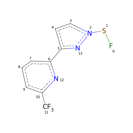 FSn1ccc(-c2cccc(C(F)(F)F)n2)n1